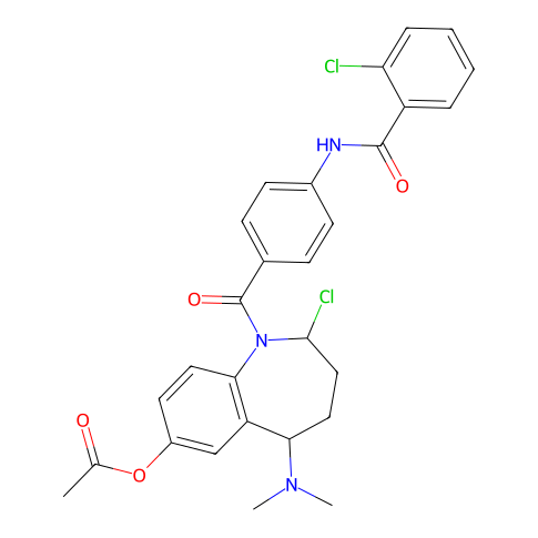 CC(=O)Oc1ccc2c(c1)C(N(C)C)CCC(Cl)N2C(=O)c1ccc(NC(=O)c2ccccc2Cl)cc1